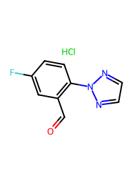 Cl.O=Cc1cc(F)ccc1-n1nccn1